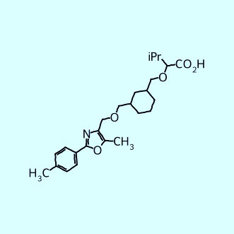 Cc1ccc(-c2nc(COCC3CCCC(COC(C(=O)O)C(C)C)C3)c(C)o2)cc1